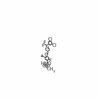 CCS(=O)(=O)NC(=O)c1cc(C2CC2)c(OCC2CCN(C(c3cc(Cl)cc(Cl)c3)C(F)F)CC2)cc1F